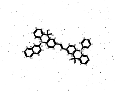 CC1(C)c2ccccc2N(c2ccccc2)c2ccc(/C=C/c3ccc4c(c3)C(C)(C)c3ccccc3N4c3ccc4ccccc4c3)cc21